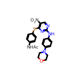 CC(=O)Nc1ccc(Sc2nc(Nc3ccc(N4CCOCC4)cc3)ncc2[N+](=O)[O-])cc1